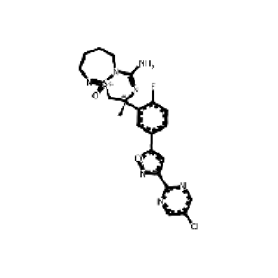 C[C@@]1(c2cc(-c3cc(-c4ncc(Cl)cn4)no3)ccc2F)C[S@@]2(=O)=NCCCCN2C(N)=N1